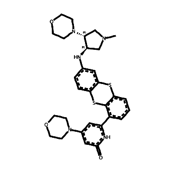 CN1C[C@@H](N2CCOCC2)[C@H](Nc2ccc3c(c2)Sc2cccc(-c4cc(N5CCOCC5)cc(=O)[nH]4)c2S3)C1